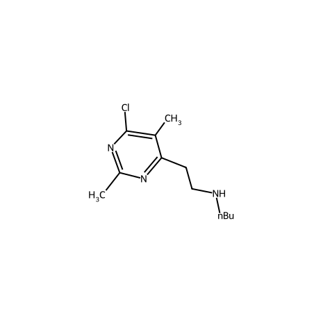 CCCCNCCc1nc(C)nc(Cl)c1C